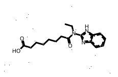 CCN(C(=O)CCCCCCC(=O)O)c1nc2ccccc2[nH]1